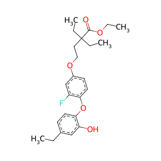 CCOC(=O)C(CC)(CC)CCOc1ccc(Oc2ccc(CC)cc2O)c(F)c1